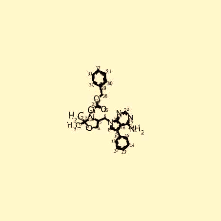 CC1(C)OCC(Cn2cc(-c3ccccc3)c3c(N)ncnc32)N1OC(=O)OCc1ccccc1